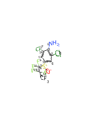 Nc1c(Cl)cc([S+]([O-])C(F)(F)C(F)(F)C(F)(F)F)cc1Cl